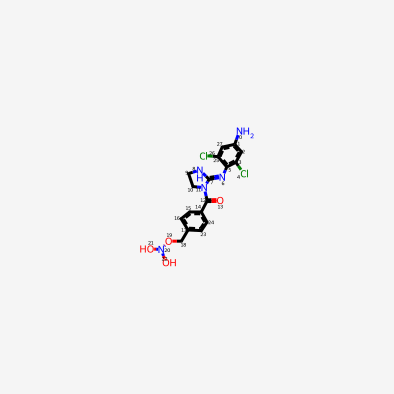 Nc1cc(Cl)c(/N=C2\NCCN2C(=O)c2ccc(CON(O)O)cc2)c(Cl)c1